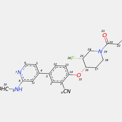 N#Cc1cc(-c2ccnc(NC=O)c2)ccc1O[C@H]1CCN(C(=O)CO)C[C@H]1F